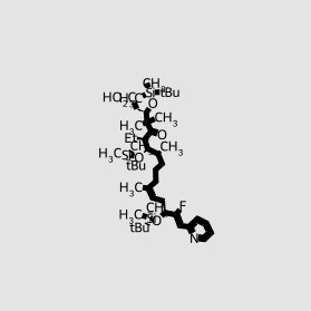 CC[C@@H](C(=O)C(C)(C)[C@H](CC(=O)O)O[Si](C)(C)C(C)(C)C)[C@@H](O[Si](C)(C)C(C)(C)C)[C@@H](C)CCCC(C)=CC[C@H](O[Si](C)(C)C(C)(C)C)C(F)=Cc1ccccn1